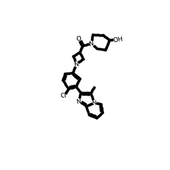 Cc1c(-c2cc(N3CC(C(=O)N4CCC(O)CC4)C3)ccc2Cl)nc2ccccn12